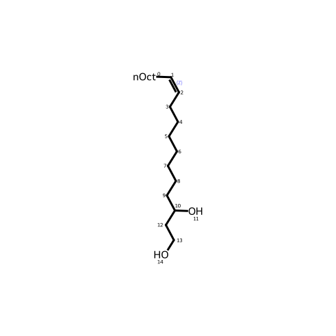 CCCCCCCC/C=C\CCCCCCCC(O)CCO